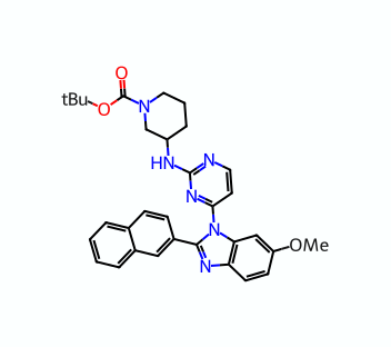 COc1ccc2nc(-c3ccc4ccccc4c3)n(-c3ccnc(NC4CCCN(C(=O)OC(C)(C)C)C4)n3)c2c1